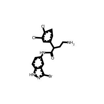 NCCC(C(=O)Nc1ccc2[nH]nc(Br)c2c1)c1ccc(Cl)c(Cl)c1